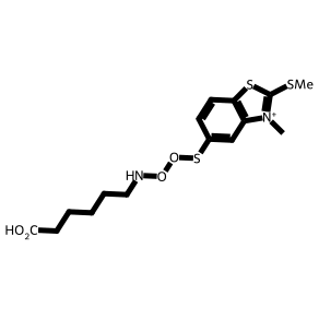 CSc1sc2ccc(SOONCCCCCC(=O)O)cc2[n+]1C